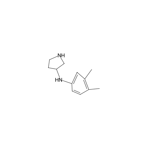 Cc1ccc(NC2CCNC2)cc1C